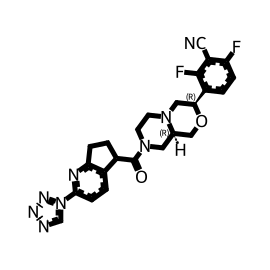 N#Cc1c(F)ccc([C@@H]2CN3CCN(C(=O)C4CCc5nc(-n6cnnn6)ccc54)C[C@@H]3CO2)c1F